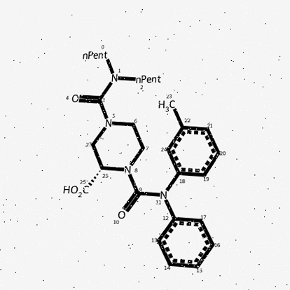 CCCCCN(CCCCC)C(=O)N1CCN(C(=O)N(c2ccccc2)c2cccc(C)c2)[C@H](C(=O)O)C1